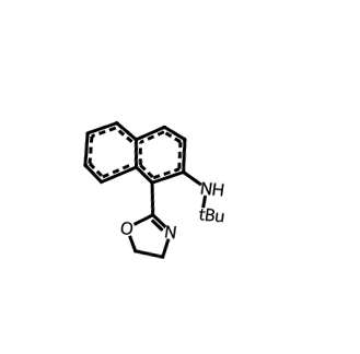 CC(C)(C)Nc1ccc2ccccc2c1C1=NCCO1